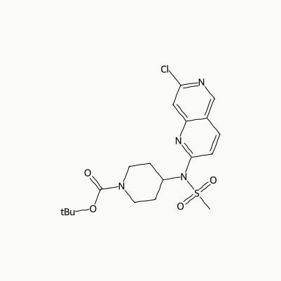 CC(C)(C)OC(=O)N1CCC(N(c2ccc3cnc(Cl)cc3n2)S(C)(=O)=O)CC1